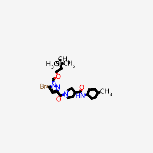 CC1CCC(NC(=O)C2CCN(C(=O)c3cc(Br)n(COCC[Si](C)(C)C)n3)CC2)CC1